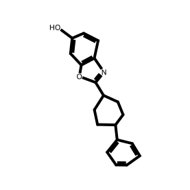 Oc1ccc2nc(C3CCC(c4ccccc4)CC3)oc2c1